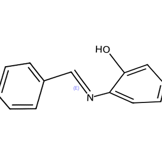 Oc1ccccc1/N=C/c1ccccc1